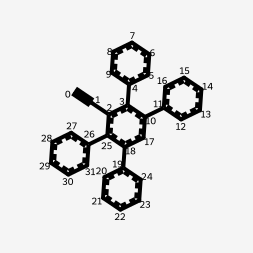 C#Cc1c(-c2ccccc2)c(-c2ccccc2)cc(-c2ccccc2)c1-c1ccccc1